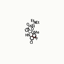 CCN(CC)CCNC(=O)C1=C(C(=O)OC)C2(C(Cc3ccc(F)cc3)Nc3cc(F)cc(Cl)c3)C=CC1O2